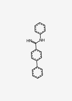 N=C(Nc1ccccc1)c1ccc(-c2ccccc2)cc1